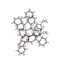 CC1C=CC=C(C2(C)c3ccccc3-c3ccc(-c4ccccc4N(c4ccccc4-c4ccc5oc6ccccc6c5c4)c4ccccc4-c4cccc5cccc(-c6ccccc6)c45)cc32)C1